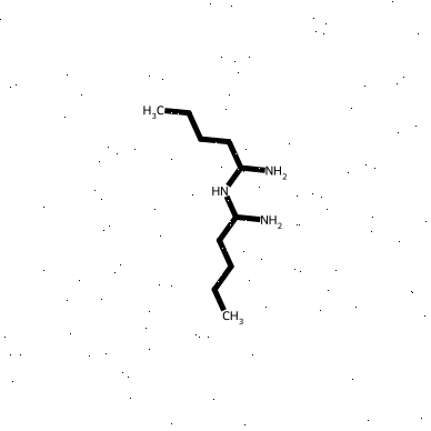 CCCCC(N)NC(N)CCCC